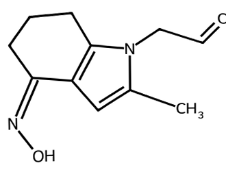 Cc1cc2c(n1CC=O)CCC/C2=N/O